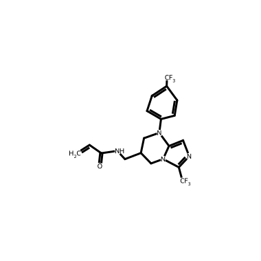 C=CC(=O)NCC1CN(c2ccc(C(F)(F)F)cc2)c2cnc(C(F)(F)F)n2C1